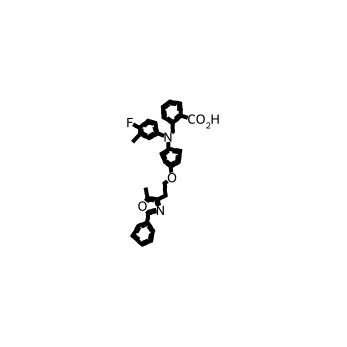 Cc1cc(N(Cc2ccccc2C(=O)O)c2ccc(OCCc3nc(-c4ccccc4)oc3C)cc2)ccc1F